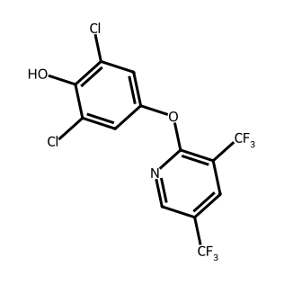 Oc1c(Cl)cc(Oc2ncc(C(F)(F)F)cc2C(F)(F)F)cc1Cl